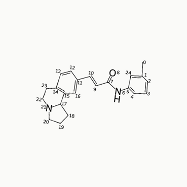 Cc1cccc(NC(=O)C=Cc2ccc3c(c2)C2CCCN2CC3)c1